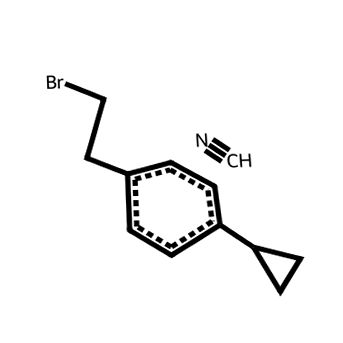 BrCCc1ccc(C2CC2)cc1.C#N